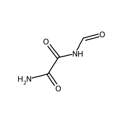 NC(=O)C(=O)NC=O